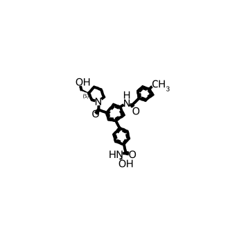 Cc1ccc(C(=O)Nc2cc(C(=O)N3CCC[C@H](CO)C3)cc(-c3ccc(C(=O)NO)cc3)c2)cc1